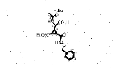 CCOC(=O)C1C(C(=O)NOCc2ccccc2)C1C(NC(=O)OC(C)(C)C)C(=O)O